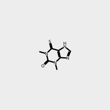 Cn1c(=S)c2[nH]cnc2n(C)c1=O